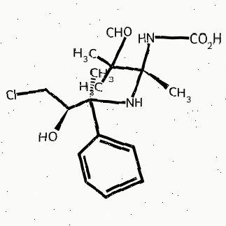 CC(C)(C=O)[C@](C)(NC(=O)O)N[C@@](C)(c1ccccc1)[C@@H](O)CCl